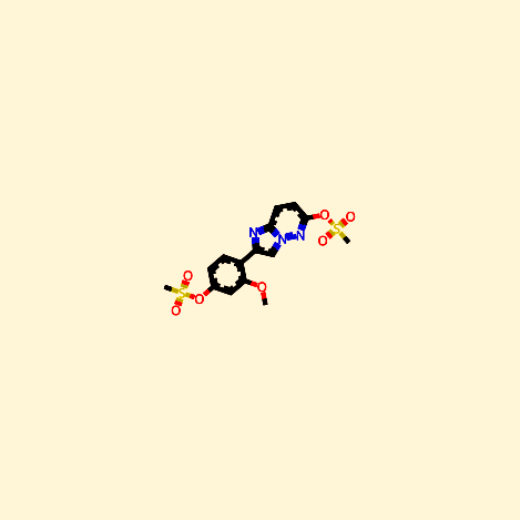 COc1cc(OS(C)(=O)=O)ccc1-c1cn2nc(OS(C)(=O)=O)ccc2n1